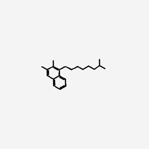 Cc1cc2ccccc2c(CCCCCCC(C)C)c1C